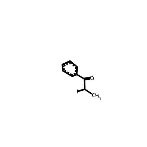 CC(I)C(=O)c1ccccc1